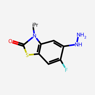 CC(C)n1c(=O)sc2cc(F)c(NN)cc21